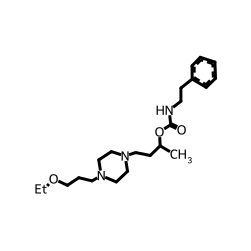 CCOCCCN1CCN(CCC(C)OC(=O)NCCc2ccccc2)CC1